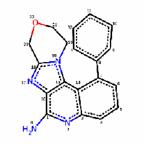 Nc1nc2cccc(-c3ccccc3)c2c2c1nc1n2CCOC1